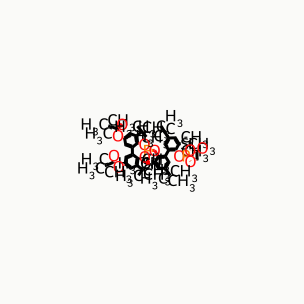 CC(C)(C)C(=O)Oc1cc(C(C)(C)C)c2op(Oc3c(-c4cc(C(C)(C)C)cc([Si](C)(C)C)c4OP4OCC(=O)O4)cc(C(C)(C)C)cc3[Si](C)(C)C)oc3c(C(C)(C)C)cc(OC(=O)C(C)(C)C)cc3c2c1